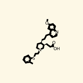 COc1ccc2nccc(CCC[C@@H]3CCN(CCSc4ccccc4C)C[C@@H]3CCC(=O)O)c2c1